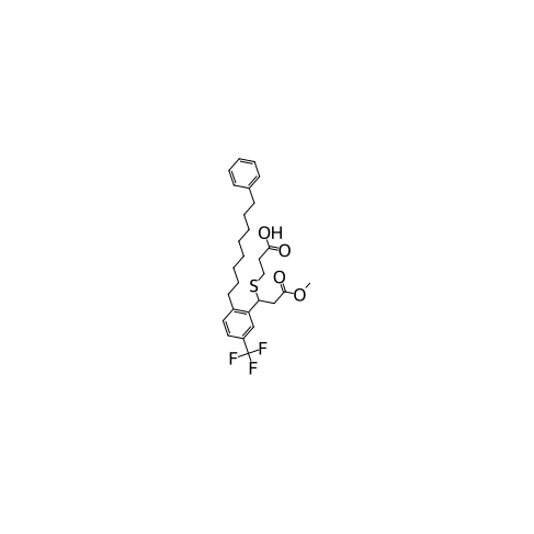 COC(=O)CC(SCCC(=O)O)c1cc(C(F)(F)F)ccc1CCCCCCCCc1ccccc1